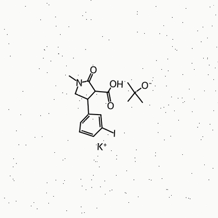 CC(C)(C)[O-].CN1CC(c2cccc(I)c2)C(C(=O)O)C1=O.[K+]